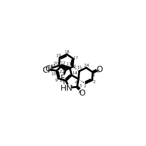 O=C1C=C[C@@]2(C(=O)Nc3cc(Cl)ccc32)[C@H](c2cccc(Cl)c2F)C1